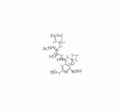 CNc1nc(CC(C)(C)C)cc2c1OC1(CCC1)C[C@@H]2NC[C@H](O)[C@H](Cc1cccc(F)c1)NC(C)=O